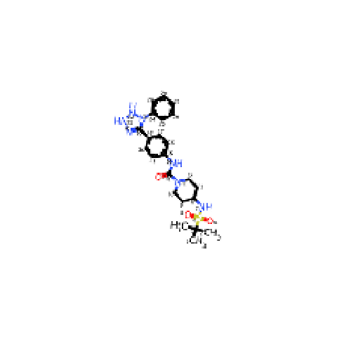 CC(C)(C)S(=O)(=O)NC1CCN(C(=O)Nc2ccc(C3=NNNN3c3ccccc3)cc2)CC1